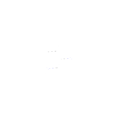 CC(C)C(NO)C(C)NO